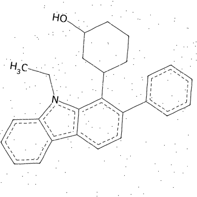 CCn1c2ccccc2c2ccc(-c3ccccc3)c(C3CCCC(O)C3)c21